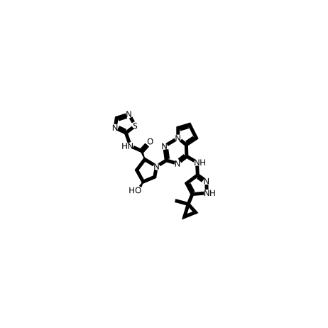 CC1(c2cc(Nc3nc(N4C[C@@H](O)C[C@H]4C(=O)Nc4ncns4)nn4cccc34)n[nH]2)CC1